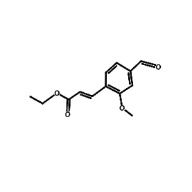 CCOC(=O)/C=C/c1ccc(C=O)cc1OC